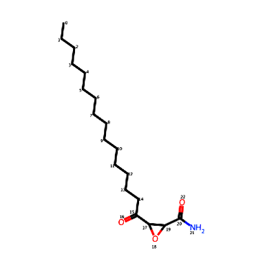 CCCCCCCCCCCCCCCC(=O)C1OC1C(N)=O